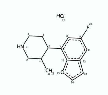 CC1CNCCC1c1cc(F)cc2ccoc12.Cl